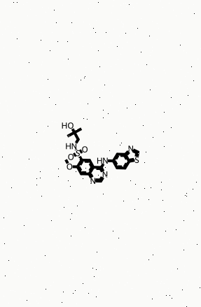 COc1cc2ncnc(Nc3ccc4scnc4c3)c2cc1S(=O)(=O)NCC(C)(C)O